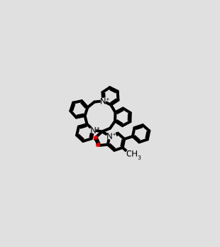 Cc1cc2[n+](cc1-c1ccccc1)C1(Cc3ccccc3-c3cccc[n+]3Cc3ccccc3-c3cccc[n+]31)c1ccccc1-2